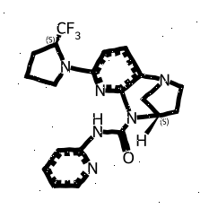 O=C(Nc1ccccn1)N1c2nc(N3CCC[C@H]3C(F)(F)F)ccc2N2CC[C@H]1C2